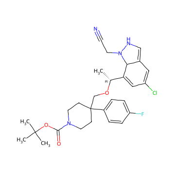 C[C@@H](OCC1(c2ccc(F)cc2)CCN(C(=O)OC(C)(C)C)CC1)C1=CC(Cl)=CC2=CNN(CC#N)C21